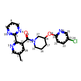 Cc1cnc(-c2ncccn2)c(C(=O)N2CCCC(Oc3ccc(Cl)cn3)C2)c1